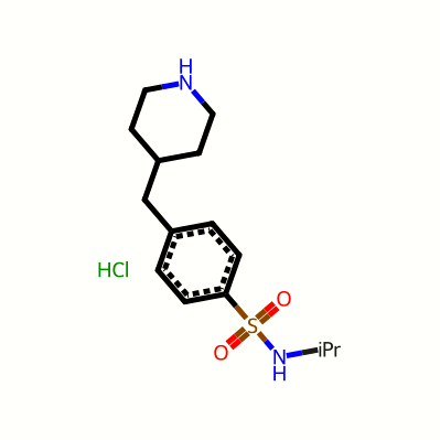 CC(C)NS(=O)(=O)c1ccc(CC2CCNCC2)cc1.Cl